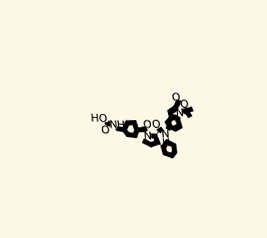 CC1(C)OC(=O)c2cc3cc(NC(=O)[C@@H]4[C@H](C5CCCCC5)CCN4C(=O)C4CCC(CNC(=O)O)CC4)ccc3n21